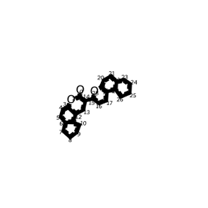 O=c1oc2ccc3ccccc3c2cc1-c1ccc2c(ccc3ccccc32)[o+]1